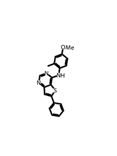 COc1ccc(Nc2ncnc3cc(-c4ccccc4)sc23)c(C)c1